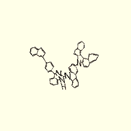 c1ccc2c(c1)NC(n1c3ccccc3c3cc(-n4c5ccc6ccccc6c5c5c6ccccc6ccc54)ccc31)N=C2c1ccc(-c2ccc3ccccc3c2)cc1